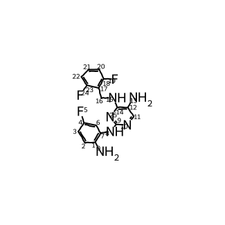 Nc1ccc(F)cc1Nc1ncc(N)c(NCc2c(F)cccc2F)n1